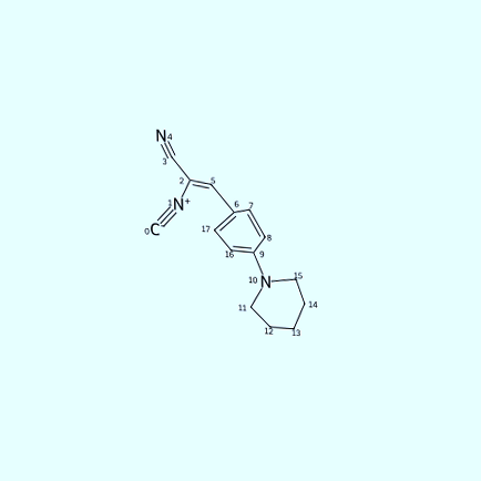 [C-]#[N+]/C(C#N)=C\c1ccc(N2CCCCC2)cc1